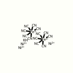 N#[C][Fe-3]([C]#N)([C]#N)([C]#N)([C]#N)[C]#N.N#[C][Fe-3]([C]#N)([C]#N)([C]#N)([C]#N)[C]#N.[KH].[Ni+2].[Ni+2].[Ni+2]